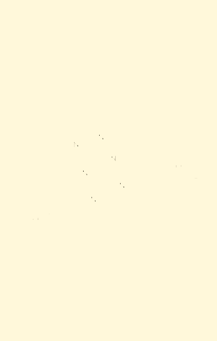 FC(F)(F)Oc1ccc(Nc2nc3nc(C(F)(F)F)[nH]c3nc2Nc2ccc(OC(F)(F)F)cc2)cc1